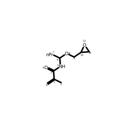 C=C(C)C(=O)NC(CCC)OCC1CO1